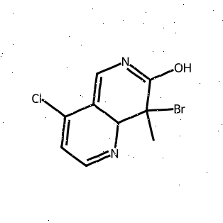 CC1(Br)C(O)=NC=C2C(Cl)=CC=NC21